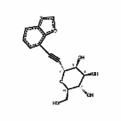 OC[C@H]1O[C@H](C#Cc2cccc3ncoc23)[C@@H](O)[C@@H](O)[C@@H]1O